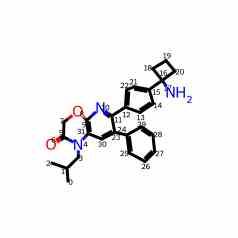 CC(C)CN1C(=O)COc2nc(-c3ccc(C4(N)CCC4)cc3)c(-c3ccccc3)cc21